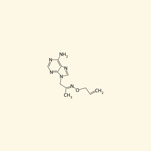 C=CCON=C(C)Cn1cnc2c(N)ncnc21